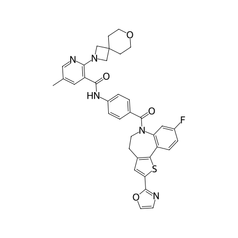 Cc1cnc(N2CC3(CCOCC3)C2)c(C(=O)Nc2ccc(C(=O)N3CCc4cc(-c5ncco5)sc4-c4ccc(F)cc43)cc2)c1